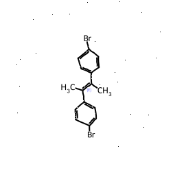 C/C(=C(/C)c1ccc(Br)cc1)c1ccc(Br)cc1